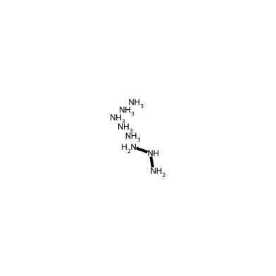 N.N.N.N.N.NNN